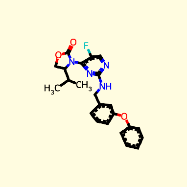 CC(C)C1COC(=O)N1c1nc(NCc2cccc(Oc3ccccc3)c2)ncc1F